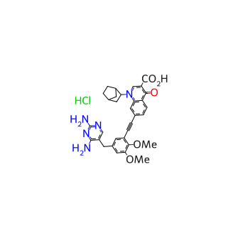 COc1cc(Cc2cnc(N)nc2N)cc(C#Cc2ccc3c(=O)c(C(=O)O)cn(C4CC5CCC4C5)c3c2)c1OC.Cl